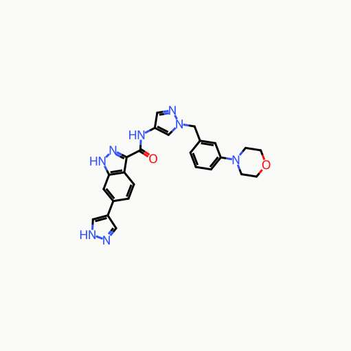 O=C(Nc1cnn(Cc2cccc(N3CCOCC3)c2)c1)c1n[nH]c2cc(-c3cn[nH]c3)ccc12